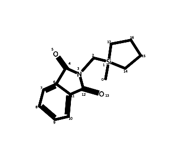 C[Si]1(CN2C(=O)c3ccccc3C2=O)CCCC1